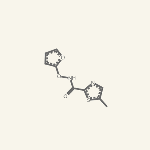 Cc1cnc(C(=O)NOc2ccco2)s1